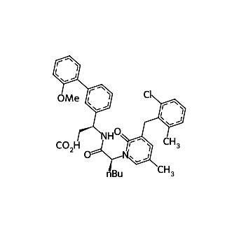 CCCC[C@@H](C(=O)N[C@@H](CC(=O)O)c1cccc(-c2ccccc2OC)c1)n1cc(C)cc(Cc2c(C)cccc2Cl)c1=O